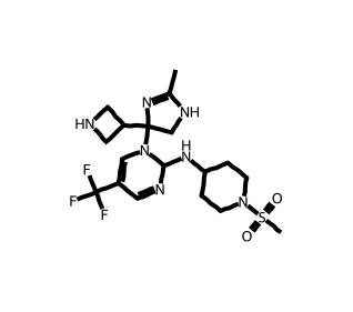 CC1=NC(C2CNC2)(N2C=C(C(F)(F)F)C=NC2NC2CCN(S(C)(=O)=O)CC2)CN1